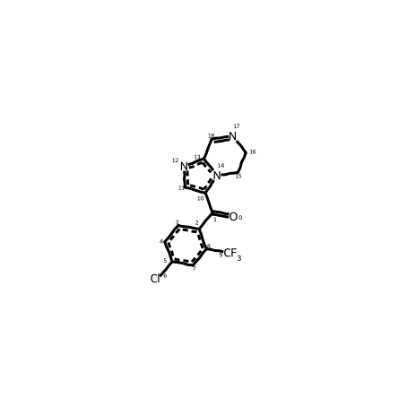 O=C(c1ccc(Cl)cc1C(F)(F)F)c1cnc2n1CCN=C2